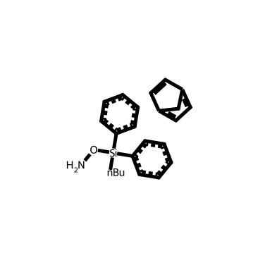 C1=CC2=CC=C1C2.CCCC[Si](ON)(c1ccccc1)c1ccccc1